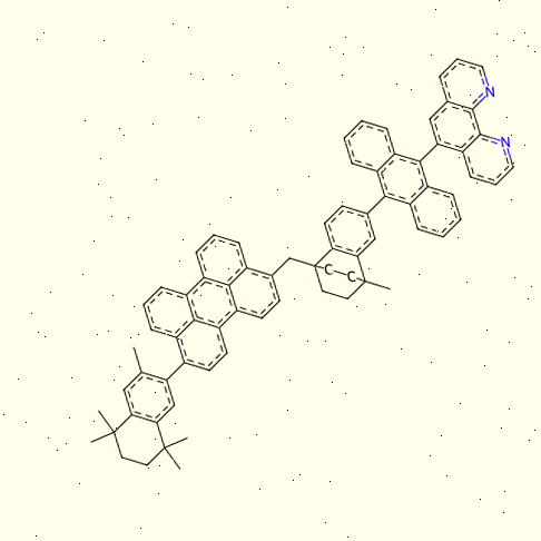 Cc1cc2c(cc1-c1ccc3c4ccc(CC56CCC(C)(CC5)c5cc(-c7c8ccccc8c(-c8cc9cccnc9c9ncccc89)c8ccccc78)ccc56)c5cccc(c6cccc1c63)c54)C(C)(C)CCC2(C)C